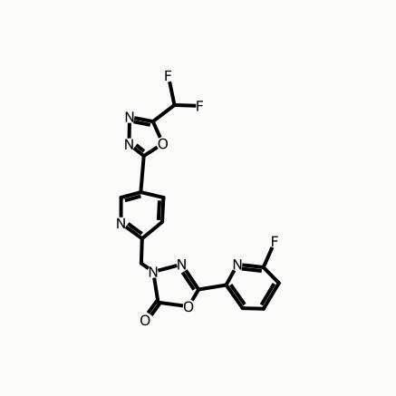 O=c1oc(-c2cccc(F)n2)nn1Cc1ccc(-c2nnc(C(F)F)o2)cn1